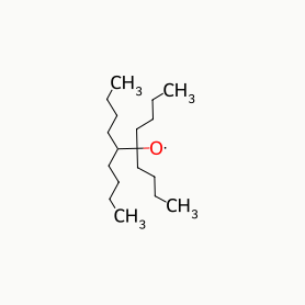 CCCCC(CCCC)C([O])(CCCC)CCCC